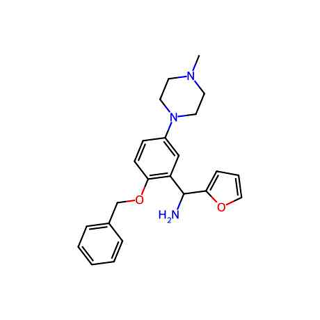 CN1CCN(c2ccc(OCc3ccccc3)c(C(N)c3ccco3)c2)CC1